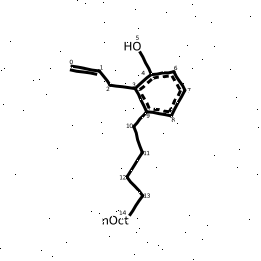 C=CCc1c(O)cccc1CCCCCCCCCCCC